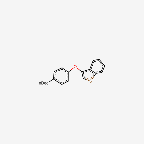 CCCCCCCCCCc1ccc(Oc2csc3ccccc23)cc1